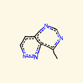 Cc1ncnc2ccnnc12